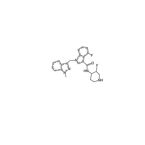 Cn1nc(Cn2cc(C(=O)NC3CCNCC3F)c3c(F)cccc32)c2ccccc21